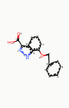 O=C(O)c1n[nH]c2c(OCc3ccccc3)cccc12